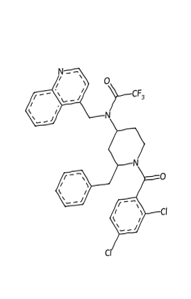 O=C(c1ccc(Cl)cc1Cl)N1CCC(N(Cc2ccnc3ccccc23)C(=O)C(F)(F)F)CC1Cc1ccccc1